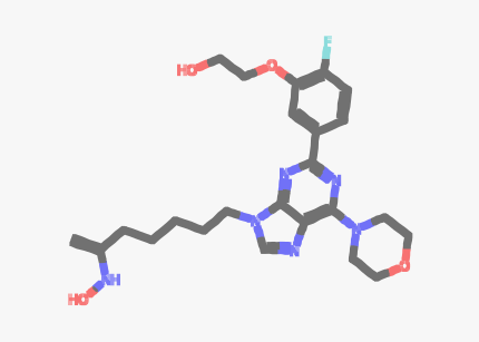 C=C(CCCCCn1cnc2c(N3CCOCC3)nc(-c3ccc(F)c(OCCO)c3)nc21)NO